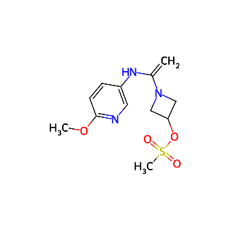 C=C(Nc1ccc(OC)nc1)N1CC(OS(C)(=O)=O)C1